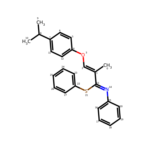 CC(=C\Oc1ccc(C(C)C)cc1)/C(=N/c1ccccc1)Sc1ccccc1